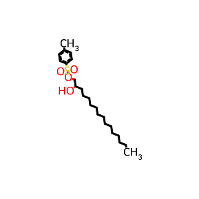 CCCCCCCCCCCCCC[C@H](O)COS(=O)(=O)c1ccc(C)cc1